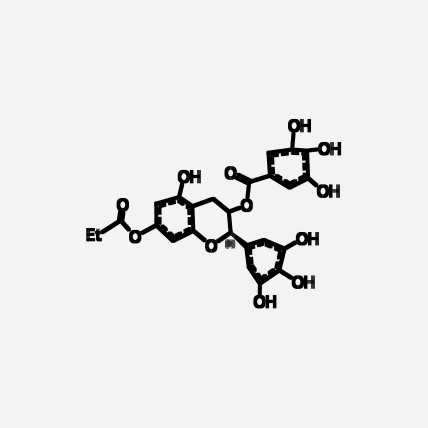 CCC(=O)Oc1cc(O)c2c(c1)O[C@H](c1cc(O)c(O)c(O)c1)C(OC(=O)c1cc(O)c(O)c(O)c1)C2